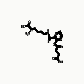 N[C@@H](CCCCNC(=S)c1nccnc1SC(=O)CCC(=O)O)C(=O)O